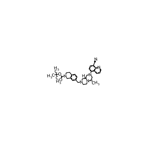 C[C@H]1CN(c2ccc(C#N)c3ncccc23)C[C@@H]2CN(Cc3ccc4c(c3)CN(C(=O)OC(C)(C)C)CC4)CCN21